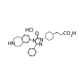 Cl.O=C(O)CC[C@H]1CC[C@H](n2nc(-c3ccccc3)n(-c3ccc4c(c3)CCNCC4)c2=O)CC1